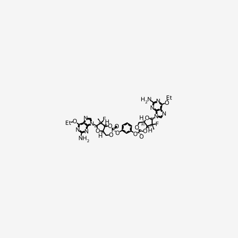 CCOc1nc(N)nc2c1ncn2[C@@H]1O[C@@H]2COP(=O)(Oc3cccc(OP4(=O)OC[C@H]5O[C@@H](n6cnc7c(OCC)nc(N)nc76)[C@](C)(F)[C@@H]5O4)c3)O[C@H]2[C@@]1(C)F